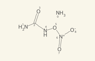 N.NC(=O)NO[N+](=O)[O-]